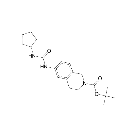 CC(C)(C)OC(=O)N1CCc2cc(NC(=O)NC3CCCC3)ccc2C1